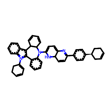 C1=CCCC(n2c3c(c4ccccc42)C2C=CC=CC2N(C2=CC=C4N=C(c5ccc([C@@H]6CC=CCC6)cc5)C=CC4N2)c2ccccc2-3)=C1